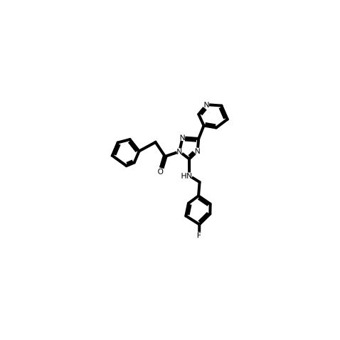 O=C(Cc1ccccc1)n1nc(-c2cccnc2)nc1NCc1ccc(F)cc1